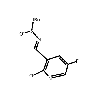 CC(C)(C)[S+]([O-])N=Cc1cc(F)cnc1Cl